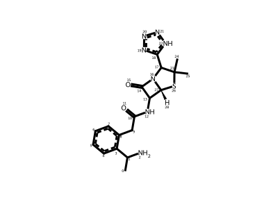 CC(N)c1ccccc1CC(=O)NC1C(=O)N2C(c3nnn[nH]3)C(C)(C)S[C@H]12